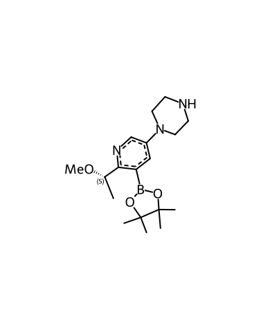 CO[C@@H](C)c1ncc(N2CCNCC2)cc1B1OC(C)(C)C(C)(C)O1